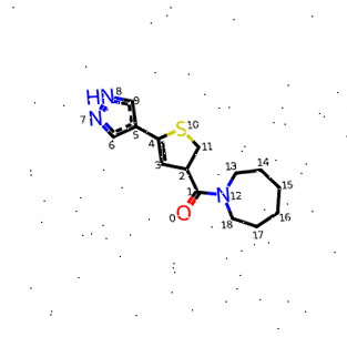 O=C(C1C=C(c2cn[nH]c2)SC1)N1CCCCCC1